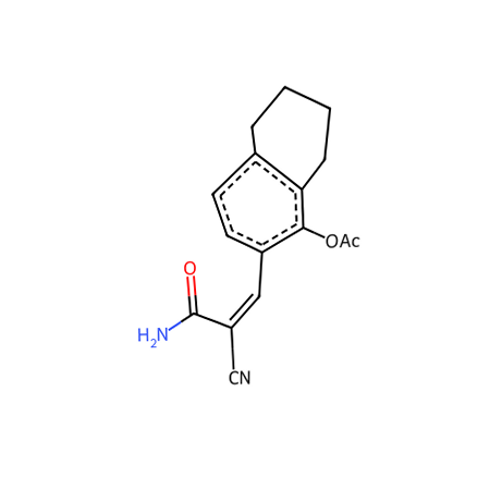 CC(=O)Oc1c(/C=C(/C#N)C(N)=O)ccc2c1CCCC2